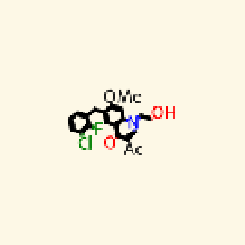 COc1cc2c(cc1Cc1cccc(Cl)c1F)c(=O)c(C(C)=O)cn2CCO